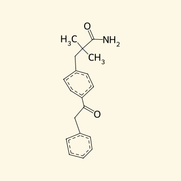 CC(C)(Cc1ccc(C(=O)Cc2ccccc2)cc1)C(N)=O